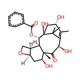 CC1=C2[C@@H](O)C(=O)[C@@]3(C)[C@@H]([C@@H]4CO[C@@H]4C[C@@H]3O)[C@H](OC(=O)c3ccccc3)[C@](O)(C[C@@H]1O)C2(C)C